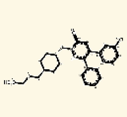 O=C(O)COC[C@H]1CC[C@H](Cn2nc(-c3ccccc3)c(-c3cccc(Cl)c3)cc2=O)CC1